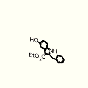 CCOC(=O)c1c(Cc2ccccc2)[nH]c2ccc(O)cc12